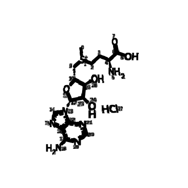 C[S+](CC[C@H](N)C(=O)O)C[C@H]1O[C@@H](n2cnc3c(N)ncnc32)[C@H](O)[C@@H]1O.Cl